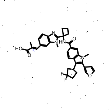 C/C(=C\c1ccc2nc(C3(NC(=O)c4ccc5c(C6CCC(F)(F)C6)c(-c6ccoc6)n(C)c5c4)CCC3)n(C)c2c1)C(=O)O